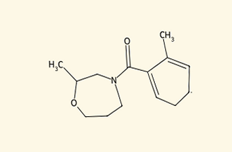 CC1=C[CH]CC=C1C(=O)N1CCCOC(C)C1